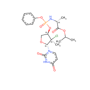 CC(C)OC(=O)[C@@H](C)NP(=O)(Oc1ccccc1)O[C@@H]1CO[C@@H](n2ccc(=O)[nH]c2=O)[C@]1(C)Cl